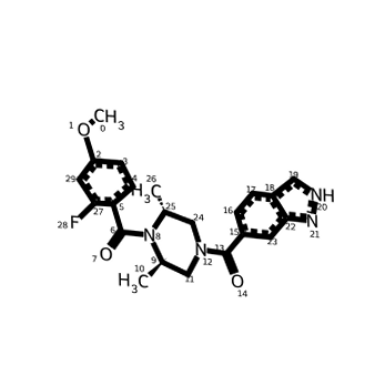 COc1ccc(C(=O)N2[C@H](C)CN(C(=O)c3ccc4c[nH]nc4c3)C[C@H]2C)c(F)c1